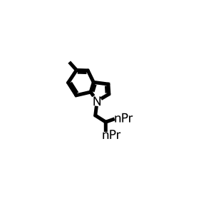 CCCC(CCC)Cn1ccc2cc(C)ccc21